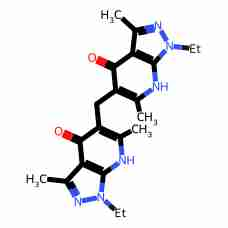 CCn1nc(C)c2c(=O)c(Cc3c(C)[nH]c4c(c(C)nn4CC)c3=O)c(C)[nH]c21